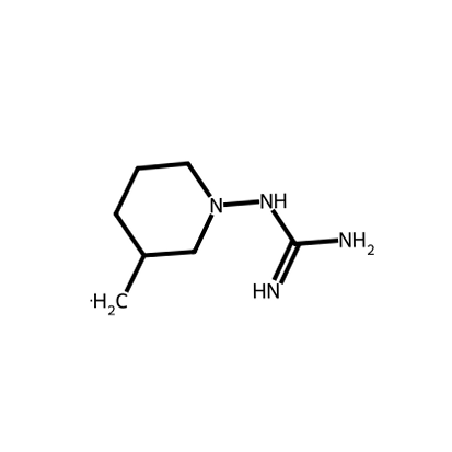 [CH2]C1CCCN(NC(=N)N)C1